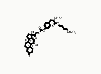 CC(=O)N[C@@H](Cc1ccc(OC(=O)OCC(=O)[C@@]2(O)CC[C@H]3[C@@H]4CCC5=CC(=O)CC[C@]5(C)[C@H]4[C@@H](O)C[C@@]32C)cc1)C(=O)OCCCCO[N+](=O)[O-]